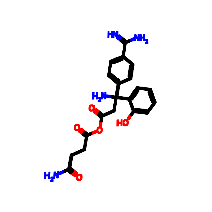 N=C(N)c1ccc(C(N)(CC(=O)OC(=O)CCC(N)=O)c2ccccc2O)cc1